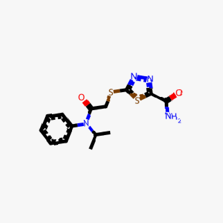 CC(C)N(C(=O)CSc1nnc(C(N)=O)s1)c1ccccc1